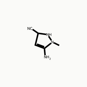 CN1NC(C#N)C=C1N